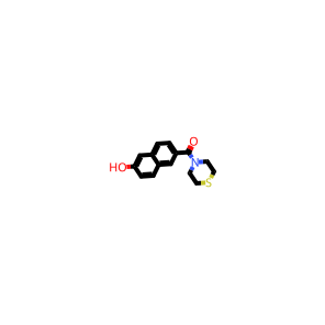 O=C(c1ccc2cc(O)ccc2c1)N1CCSCC1